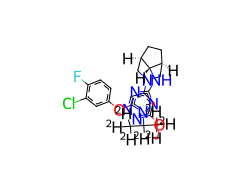 [2H]C([2H])([2H])C([2H])(n1nc(N[C@@H]2[C@@H]3CC[C@H]2CN(c2cnnc(OC)c2)C3)nc1Oc1ccc(F)c(Cl)c1)C([2H])([2H])[2H]